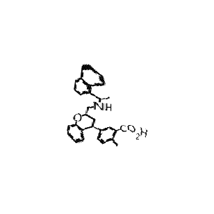 Cc1ccc([C@@H]2C[C@H](CN[C@H](C)c3cccc4c#cccc34)Oc3ccccc32)cc1C(=O)O